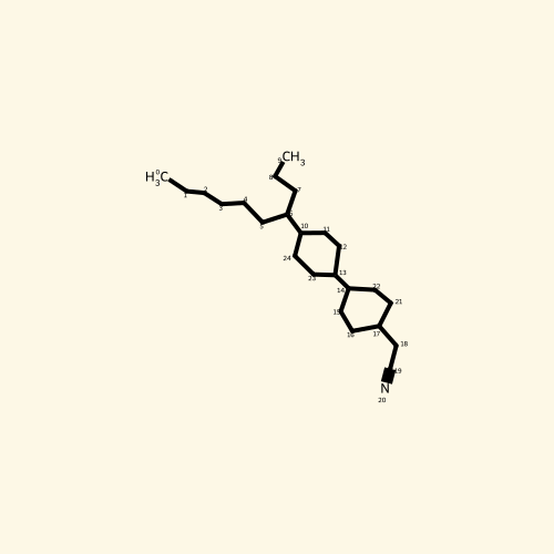 CCCCCCC(CCC)C1CCC(C2CCC(CC#N)CC2)CC1